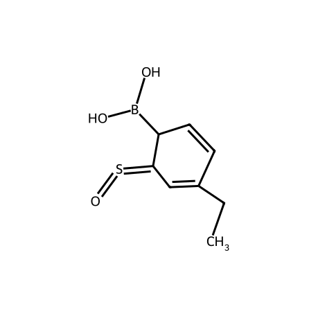 CCC1=CC(=S=O)C(B(O)O)C=C1